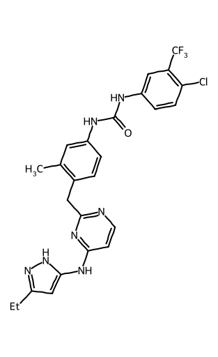 CCc1cc(Nc2ccnc(Cc3ccc(NC(=O)Nc4ccc(Cl)c(C(F)(F)F)c4)cc3C)n2)[nH]n1